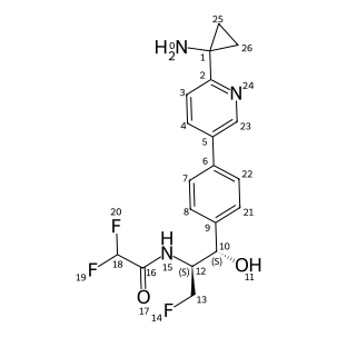 NC1(c2ccc(-c3ccc([C@H](O)[C@@H](CF)NC(=O)C(F)F)cc3)cn2)CC1